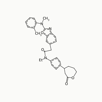 CCN(C(=O)Cc1ccc2nc(N(C)c3ccccc3C)oc2c1)c1ccc(C2CCCOC(=O)C2)cc1